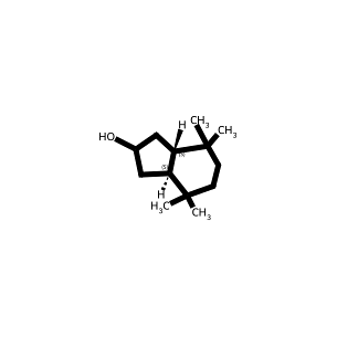 CC1(C)CCC(C)(C)[C@H]2CC(O)C[C@@H]21